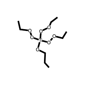 CCC[O][Ti]([O]OCC)([O]OCC)[O]OCC